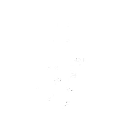 Cc1ccc(CCc2c(C)nc(N[C@@H](C)c3ccccc3)nc2N)cc1